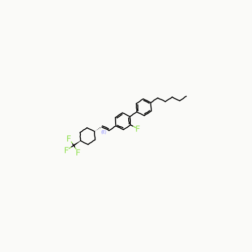 CCCCCc1ccc(-c2ccc(/C=C/[C@H]3CC[C@H](C(F)(F)F)CC3)cc2F)cc1